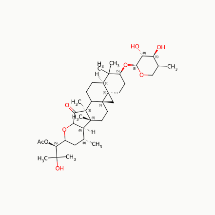 CC(=O)O[C@@H](C1C[C@@H](C)[C@H]2C(O1)C(=O)[C@@]1(C)C3CC[C@H]4C(C)(C)[C@@H](O[C@@H]5OCC(C)[C@H](O)[C@H]5O)CC[C@@]45C[C@@]35CC[C@]21C)C(C)(C)O